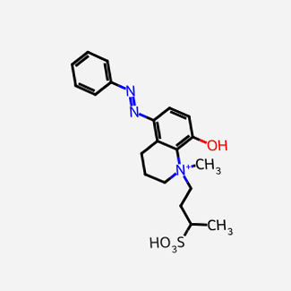 CC(CC[N+]1(C)CCCc2c(N=Nc3ccccc3)ccc(O)c21)S(=O)(=O)O